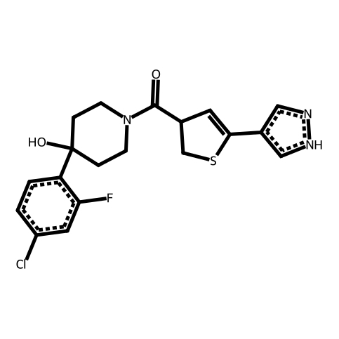 O=C(C1C=C(c2cn[nH]c2)SC1)N1CCC(O)(c2ccc(Cl)cc2F)CC1